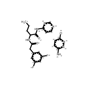 CCCC(NC(=O)Cc1cc(F)cc(F)c1)C(=O)Nc1ccncn1.Nc1ccc(Cl)nn1